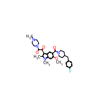 COc1cc2c(cc1C(=O)N1CCC(Cc3ccc(F)cc3)CC1)c(C(=O)C(=O)N1CCN(C)CC1)c(C)n2C